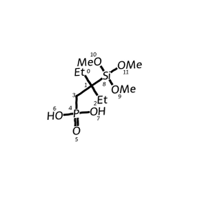 CCC(CC)(CP(=O)(O)O)[Si](OC)(OC)OC